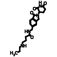 CCCNCCCC(=O)NCc1ccc2c(c1)CN(C1CCC(=O)NC1=O)C2=O